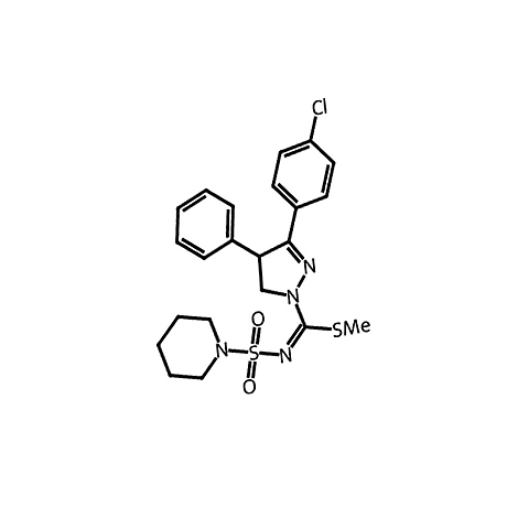 CSC(=NS(=O)(=O)N1CCCCC1)N1CC(c2ccccc2)C(c2ccc(Cl)cc2)=N1